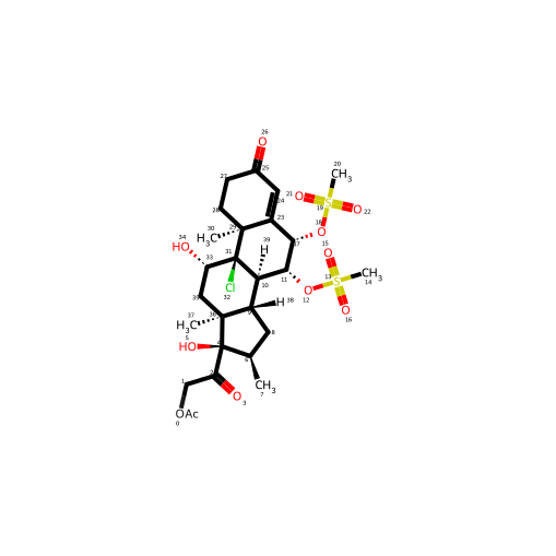 CC(=O)OCC(=O)[C@@]1(O)[C@H](C)C[C@H]2[C@@H]3[C@@H](OS(C)(=O)=O)[C@@H](OS(C)(=O)=O)C4=CC(=O)CC[C@]4(C)[C@@]3(Cl)[C@@H](O)C[C@@]21C